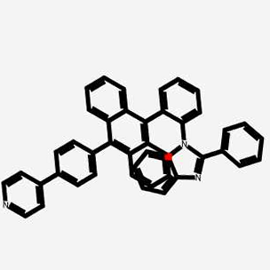 c1ccc(-c2nc3ccccc3n2-c2ccccc2-c2c3ccccc3c(-c3ccc(-c4ccncc4)cc3)c3ccccc23)cc1